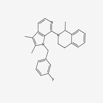 Cc1c(C)n(Cc2cccc(F)c2)c2c(N3CCc4ccccc4C3C)nccc12